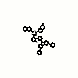 CC1C=Cc2ccc(-c3nc(-c4ccc5ccccc5c4)nc(-c4cccc5oc6c(-n7c8ccc(-c9ccccc9)cc8c8cc(-c9ccccc9)ccc87)cccc6c45)n3)cc2C1